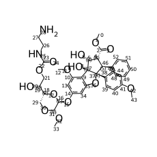 COC(=O)[C@H]1[C@@H](O)[C@@]2(O)c3c(OC)cc(O[C@@H]4O[C@@H]([C@H](O)COC(=O)NCCN)CO[C@H]4OC)cc3O[C@@]2(c2ccc(OC)cc2)[C@@H]1c1ccccc1